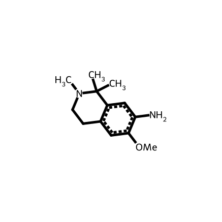 COc1cc2c(cc1N)C(C)(C)N(C)CC2